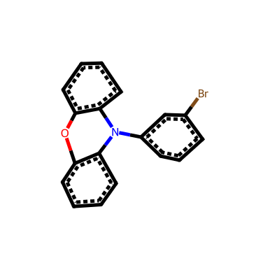 Brc1cccc(N2c3ccccc3Oc3ccccc32)c1